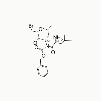 CC(C)C[C@H](N)C(=O)N(C(=O)OCc1ccccc1)[C@@H](CC(C)C)C(=O)C(=O)CBr